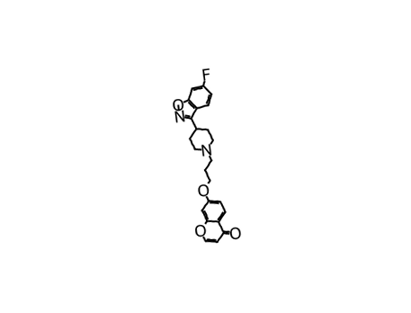 O=c1ccoc2cc(OCCCN3CCC(c4noc5cc(F)ccc45)CC3)ccc12